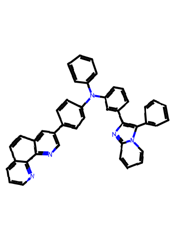 c1ccc(-c2c(-c3cccc(N(c4ccccc4)c4ccc(-c5cnc6c(ccc7cccnc76)c5)cc4)c3)nc3ccccn23)cc1